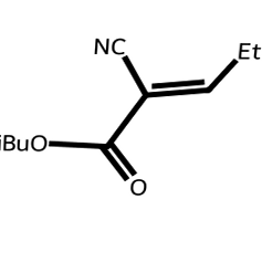 CC/C=C(\C#N)C(=O)OCC(C)C